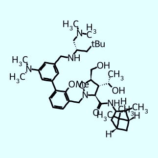 COc1c(CN2O[C@@H](CO)[C@H]([C@H](C)O)[C@H]2C(=O)NC2C[C@H]3C[C@@H]([C@@H]2C)C3(C)C)cccc1-c1cc(CN[C@H](CN(C)C)CC(C)(C)C)cc(N(C)C)c1